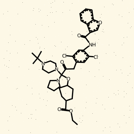 CCOC(=O)C1CCC(OC(C(=O)Cc2cc(Cl)c(NC(=O)c3coc4ccccc34)cc2Cl)(N2CCCC2)N2CCN(C(C)(C)C)CC2)CC1